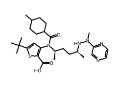 CC1CCC(C(=O)N(c2cc(C(C)(C)C)sc2C(=O)O)[C@H](C)CC[C@H](C)NN(C)c2cnccn2)CC1